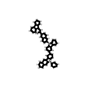 c1ccc(-n2c3ccc(-c4ccc5c(c4)c4ccccc4n5-c4ccc5cc(-c6cc7c8c(cccc8n6)-c6ccccc6-7)ccc5c4)cc3c3cc4ccccc4cc32)cc1